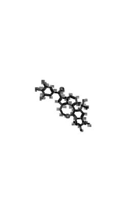 Cc1nc2c3c(c(C(F)(F)F)cc2n1C)-c1cccn2c(C(=O)c4cc(F)c(F)c(F)c4)cc(c12)CCO3